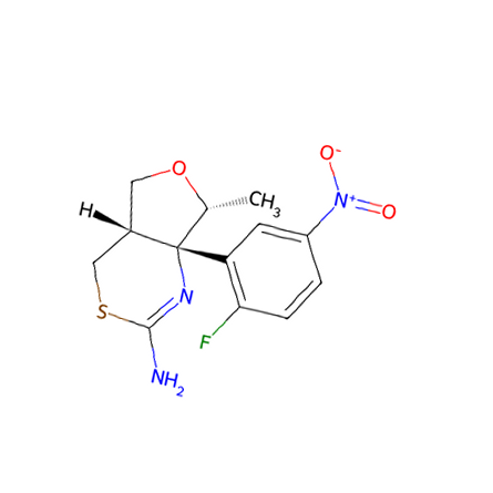 C[C@H]1OC[C@H]2CSC(N)=N[C@]21c1cc([N+](=O)[O-])ccc1F